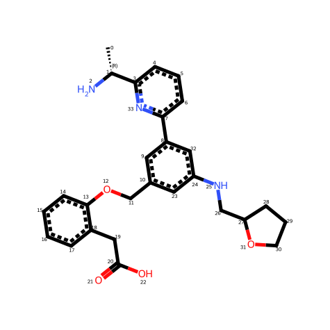 C[C@@H](N)c1cccc(-c2cc(COc3ccccc3CC(=O)O)cc(NCC3CCCO3)c2)n1